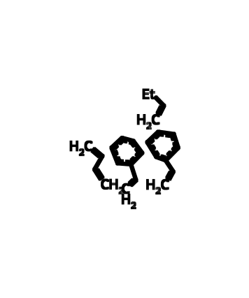 C=CC=C.C=CCC.C=Cc1ccccc1.C=Cc1ccccc1